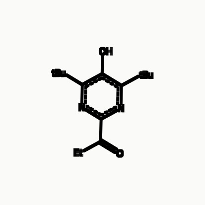 CCC(=O)c1nc(C(C)(C)C)c(O)c(C(C)(C)C)n1